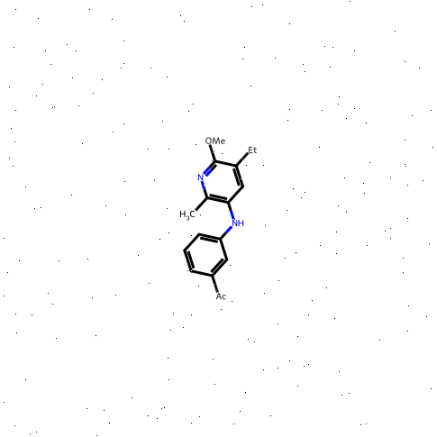 CCc1cc(Nc2cccc(C(C)=O)c2)c(C)nc1OC